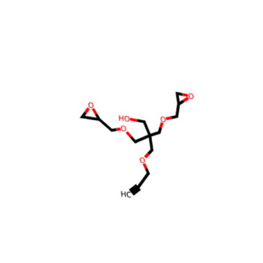 C#CCOCC(CO)(COCC1CO1)COCC1CO1